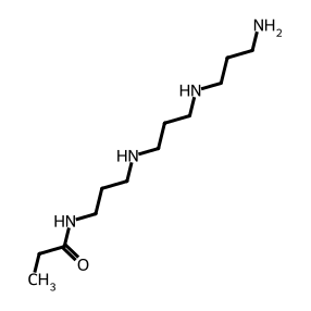 CCC(=O)NCCCNCCCNCCCN